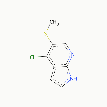 CSc1cnc2[nH]ccc2c1Cl